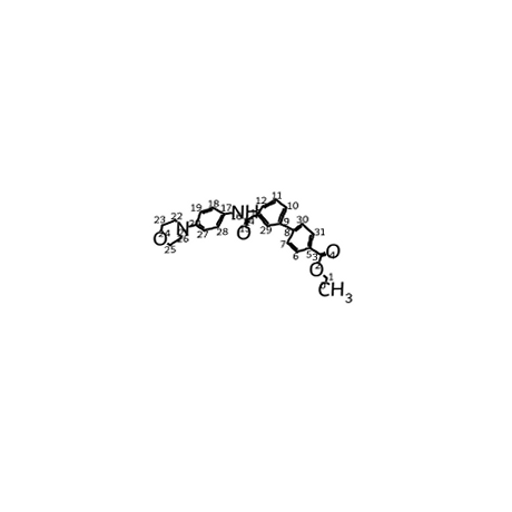 CCOC(=O)c1ccc(-c2cccc(C(=O)Nc3ccc(N4CCOCC4)cc3)c2)cc1